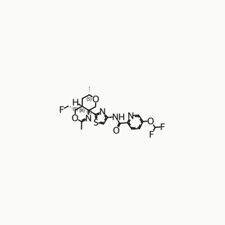 CC1=N[C@@]2(c3nc(NC(=O)c4ccc(OC(F)F)cn4)cs3)CO[C@@H](C)C[C@H]2[C@@H](CF)O1